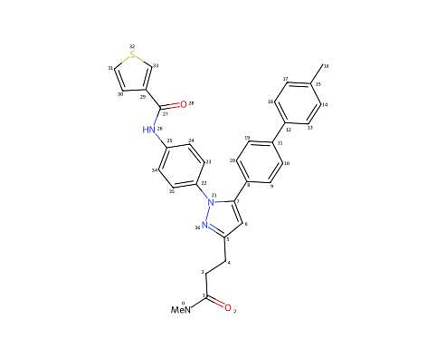 CNC(=O)CCc1cc(-c2ccc(-c3ccc(C)cc3)cc2)n(-c2ccc(NC(=O)c3ccsc3)cc2)n1